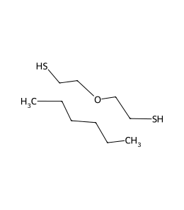 CCCCCC.SCCOCCS